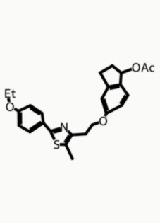 CCOc1ccc(-c2nc(CCOc3ccc4c(c3)CCC4OC(C)=O)c(C)s2)cc1